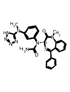 CN1C(=O)[C@@H](N(C(N)=O)c2cccc(N(C)c3nnn[nH]3)c2)N=C(c2ccccc2)c2ccccc21